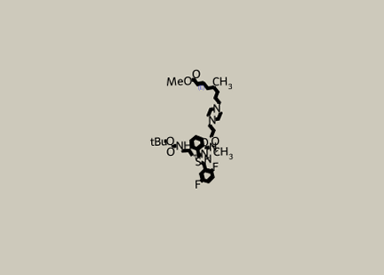 COC(=O)/C=C/CC(C)CCCN1CCN(CCCON(C)C(=O)N2N=C(c3cc(F)ccc3F)S[C@@]2(CCCNC(=O)OC(C)(C)C)c2ccccc2)CC1